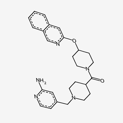 Nc1cc(CN2CCC(C(=O)N3CCC(Oc4cc5ccccc5cn4)CC3)CC2)ccn1